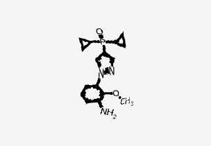 COc1c(N)cccc1-n1cc(P(=O)(C2CC2)C2CC2)cn1